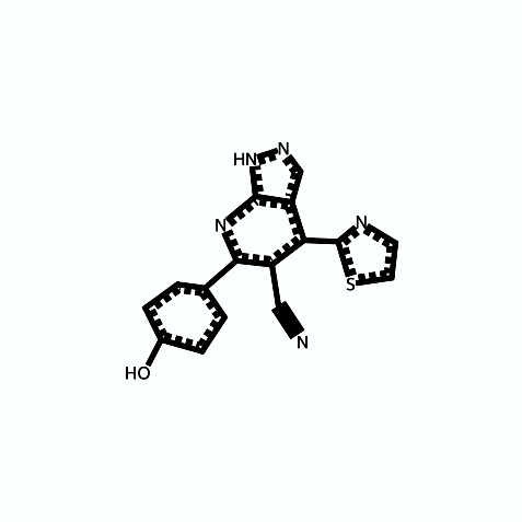 N#Cc1c(-c2ccc(O)cc2)nc2[nH]ncc2c1-c1nccs1